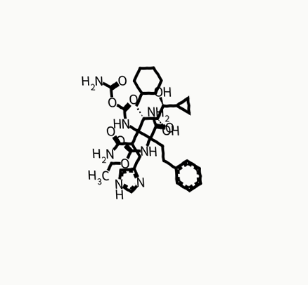 CCOC(=O)NC(CCc1ccccc1)(C(N)=O)C(NC(=O)OC(N)=O)(C(Cc1c[nH]cn1)C(N)=O)[C@H](CC1CCCCC1)[C@@H](O)[C@@H](O)C1CC1